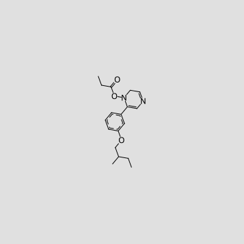 CCC(=O)ON1CC=NC=C1c1cccc(OCC(C)CC)c1